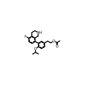 CC(=O)OCCc1ccc(OC(C)C)c(-c2ccc(F)c3c2CNCC3)c1